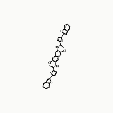 S=C(Nc1cc2cc(Cl)c(NC(=S)c3ccc(-c4cc5ccccc5o4)s3)cc2cc1Cl)c1ccc(-c2cc3ccccc3o2)s1